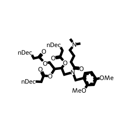 CCCCCCCCCCCC(=O)OCC(OC(=O)CCCCCCCCCCC)C(CN(Cc1ccc(OC)cc1OC)C(=O)CCCN(C)C)OC(=O)CCCCCCCCCCC